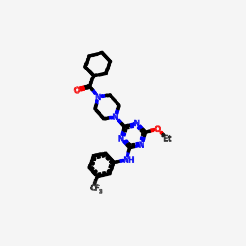 CCOc1nc(Nc2cccc(C(F)(F)F)c2)nc(N2CCN(C(=O)C3CCCCC3)CC2)n1